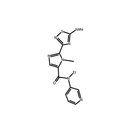 CCN(C(=O)c1cnc(-c2nsc(NC)n2)n1C)c1cccnc1